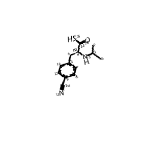 CC(C)N[C@@H](Cc1ccc(C#N)cc1)C(=O)S